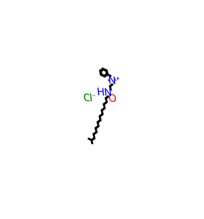 CC(C)CCCCCCCCCCCCCCC(=O)NCCC[N+](C)(C)Cc1ccccc1.[Cl-]